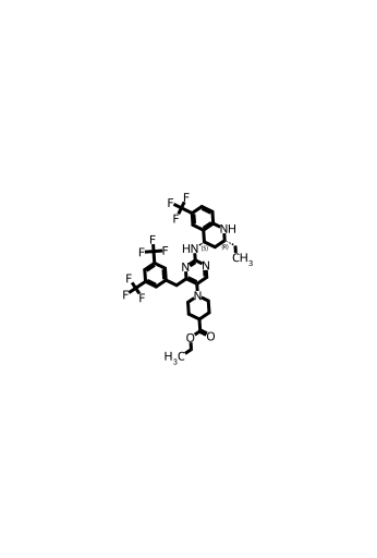 CCOC(=O)C1CCN(c2cnc(N[C@H]3C[C@@H](CC)Nc4ccc(C(F)(F)F)cc43)nc2Cc2cc(C(F)(F)F)cc(C(F)(F)F)c2)CC1